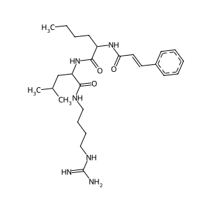 CCCCC(NC(=O)/C=C/c1ccccc1)C(=O)NC(CC(C)C)C(=O)NCCCCNC(=N)N